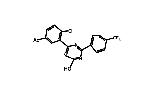 CC(=O)c1ccc(Cl)c(-c2nc(O)nc(-c3ccc(C(F)(F)F)cc3)n2)c1